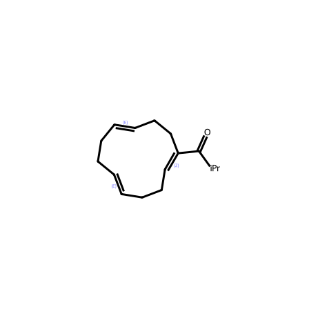 CC(C)C(=O)/C1=C\CC/C=C/CC/C=C/CC1